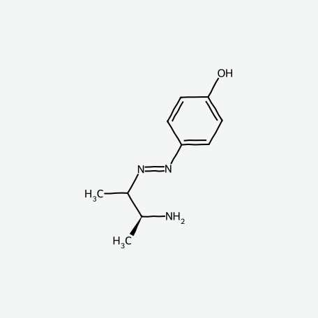 CC(/N=N/c1ccc(O)cc1)[C@H](C)N